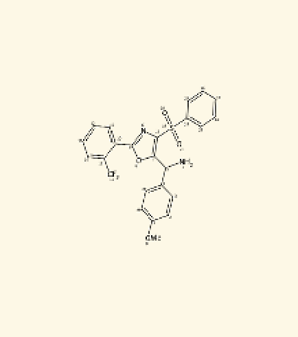 COc1ccc(C(N)c2oc(-c3ccccc3C(F)(F)F)nc2S(=O)(=O)c2ccccc2)cc1